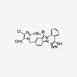 CCCCc1nc(Cl)c(C=O)n1Cc1ccc2nn(-c3ccccc3-c3nnn[nH]3)c(Br)c2c1